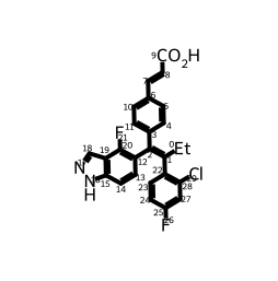 CCC(=C(c1ccc(C=CC(=O)O)cc1)c1ccc2[nH]ncc2c1F)c1ccc(F)cc1Cl